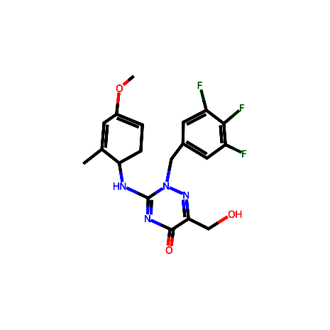 COC1=CCC(Nc2nc(=O)c(CO)nn2Cc2cc(F)c(F)c(F)c2)C(C)=C1